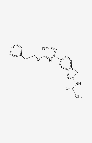 CC(=O)Nc1nc2ccc(-c3ccnc(OCCc4ccccc4)n3)cc2s1